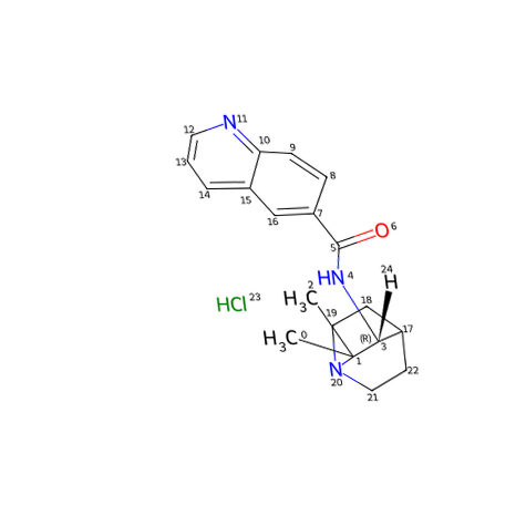 CC1(C)[C@H](NC(=O)c2ccc3ncccc3c2)C2CCN1CC2.Cl